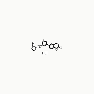 CN1C(=O)CCc2cc(-c3cncc(OC[C@@H]4CCCN4)c3)ccc21.Cl